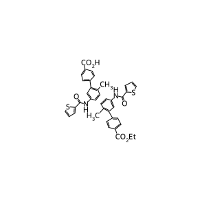 CCOC(=O)c1ccc(-c2cc(NC(=O)c3cccs3)ccc2C)cc1.Cc1ccc(NC(=O)c2cccs2)cc1-c1ccc(C(=O)O)cc1